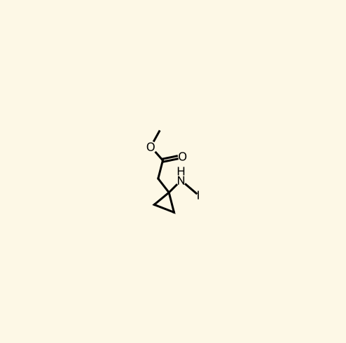 COC(=O)CC1(NI)CC1